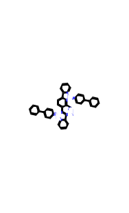 c1ccc(-c2ccc(-n3c4ccccc4c4ccc5c(cnc6c7ccccc7n(-c7ccc(-c8ccccc8)cc7)c56)c43)cc2)cc1